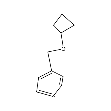 [c]1ccc(COC2CCC2)cc1